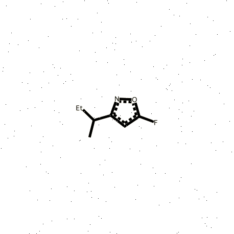 CCC(C)c1cc(F)on1